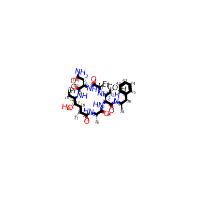 CC[C@@H](N)C(=O)N[C@H](CC(N)=O)C(=O)NC(CC(C)C)[C@@H](O)C[C@@H](C)C(=O)N[C@@H](C)C(=O)N[C@@H](CCC(=O)O)C(=O)N[C@H](C)Cc1ccccc1